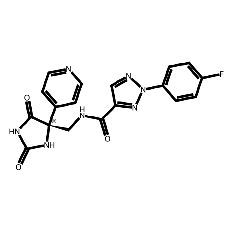 O=C1NC(=O)[C@](CNC(=O)c2cnn(-c3ccc(F)cc3)n2)(c2ccncc2)N1